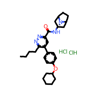 CCCCc1nnc(C(=O)NC2CC3CCC(C2)N3C)cc1-c1ccc(OC2CCCCC2)cc1.Cl.Cl